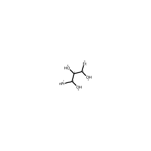 [CH2]CC(O)C(O)C(O)CCC